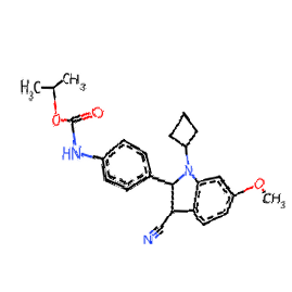 COc1ccc2c(c1)N(C1CCC1)C(c1ccc(NC(=O)OC(C)C)cc1)C2C#N